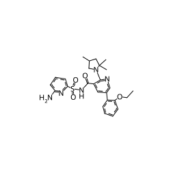 CCOc1ccccc1-c1cnc(N2CC(C)CC2(C)C)c(C(=O)NS(=O)(=O)c2cccc(N)n2)c1